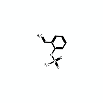 C=Cc1ccccc1OS(=O)(=O)C(F)(F)F